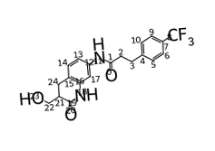 O=C(CCc1ccc(C(F)(F)F)cc1)Nc1ccc2c(c1)NC(=O)C(CO)C2